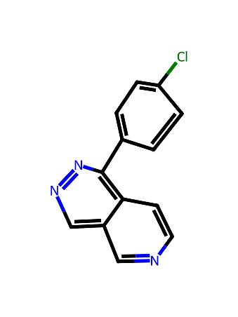 Clc1ccc(-c2nncc3cnccc23)cc1